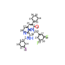 O=C(N[C@H](CCNCc1cccc(I)c1)Cc1cc(F)cc(F)c1)/C(=C\c1ccncc1)c1ccccc1